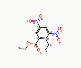 CCOC(=O)c1cc([N+](=O)[O-])cc([N+](=O)[O-])c1CC